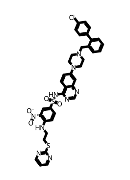 O=[N+]([O-])c1cc(S(=O)(=O)Nc2ncnc3cc(N4CCN(Cc5ccccc5-c5ccc(Cl)cc5)CC4)ccc23)ccc1NCCSc1ncccn1